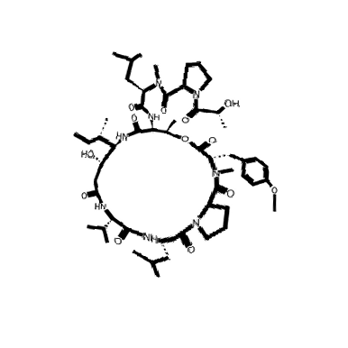 CC[C@H](C)[C@H]1NC(=O)[C@@H](NC(=O)[C@@H](CC(C)C)N(C)C(=O)C2CCCN2C(=O)[C@@H](C)O)[C@@H](C)OC(=O)[C@H](Cc2ccc(OC)cc2)N(C)C(=O)C2CCCN2C(=O)[C@H](CC(C)C)NC(=O)[C@H](C(C)C)NC(=O)C[C@@H]1O